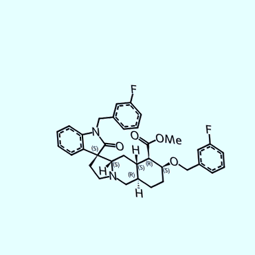 COC(=O)[C@@H]1[C@H]2C[C@@H]3N(CC[C@@]34C(=O)N(Cc3cccc(F)c3)c3ccccc34)C[C@@H]2CC[C@@H]1OCc1cccc(F)c1